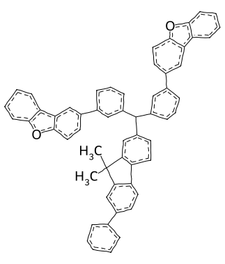 CC1(C)c2cc(-c3ccccc3)ccc2-c2ccc(C(c3cccc(-c4ccc5oc6ccccc6c5c4)c3)c3cccc(-c4ccc5oc6ccccc6c5c4)c3)cc21